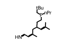 CCCP(CCC(C=C(C)C)C/C(C)=C\C=N)CC(C)(C)C